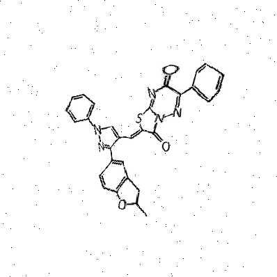 CC1Cc2cc(-c3nn(-c4ccccc4)cc3/C=c3\sc4nc(=O)c(-c5ccccc5)nn4c3=O)ccc2O1